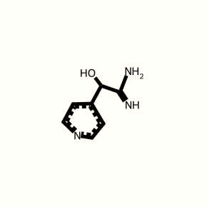 N=C(N)C(O)c1ccncc1